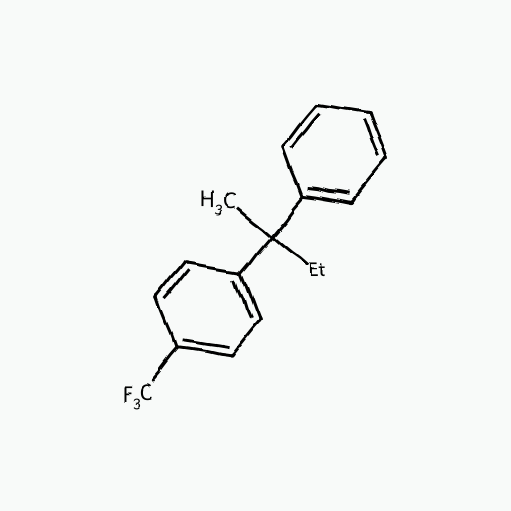 CCC(C)(c1ccccc1)c1ccc(C(F)(F)F)cc1